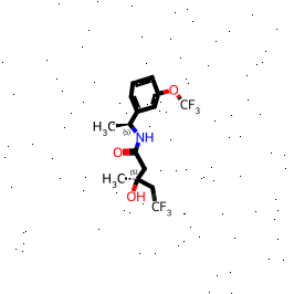 C[C@H](NC(=O)C[C@](C)(O)CC(F)(F)F)c1cccc(OC(F)(F)F)c1